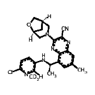 Cc1cc([C@@H](C)Nc2ccc(Cl)nc2C(=O)O)c2nc(N3C[C@@H]4CO[C@@H](C4)C3)c(C#N)nc2c1